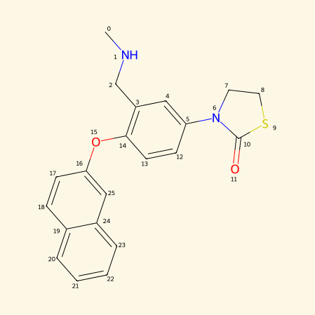 CNCc1cc(N2CCSC2=O)ccc1Oc1ccc2ccccc2c1